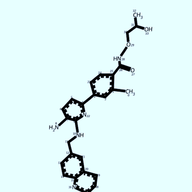 Cc1cc(-c2ccc(N)c(NCc3ccc4ncccc4c3)n2)ccc1C(=O)NOCC(C)O